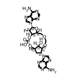 Nc1ncnc2c1ncn2[C@@H]1C[C@@H]2OP(=O)(O)O[C@H]3[C@@H](F)[C@H](n4cnc5c(N)ncnc54)O[C@@H]3COCO[C@@H]1[C@@H]2O